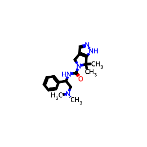 CN(C)CC(NC(=O)N1Cc2cn[nH]c2C1(C)C)c1ccccc1